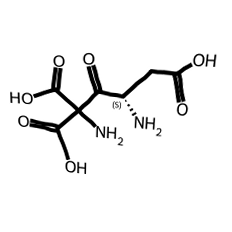 N[C@@H](CC(=O)O)C(=O)C(N)(C(=O)O)C(=O)O